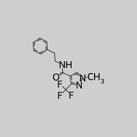 Cn1cc(C(=O)NCCc2ccccc2)c(C(F)(F)F)n1